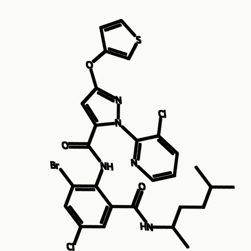 CC(C)CCC(C)NC(=O)c1cc(Cl)cc(Br)c1NC(=O)c1cc(Oc2ccsc2)nn1-c1ncccc1Cl